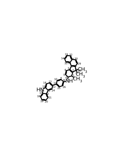 CC1C2=C(C=CC1Nc1ccc(-c3ccc4[nH]c5ccccc5c4c3)cc1)c1c(ccc3ccccc13)C2(C)C